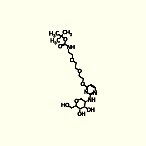 CC(C)(C)OC(=O)NCCOCCOCCOc1ccnc(N[C@H]2CO[C@H](CO)[C@H](O)[C@@H]2O)n1